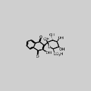 O=C1C(O)=C(C2(O)O[C@H](C(=O)O)[C@@H](O)[C@H](O)[C@H]2O)C(=O)c2ccccc21